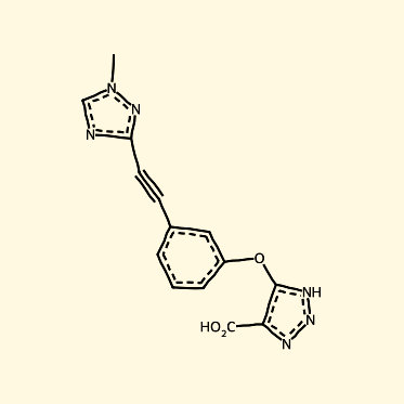 Cn1cnc(C#Cc2cccc(Oc3[nH]nnc3C(=O)O)c2)n1